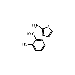 Nc1cccs1.O=C(O)c1ccccc1O